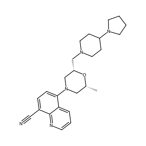 C[C@@H]1CN(c2ccc(C#N)c3ncccc23)C[C@H](CN2CCC(N3CCCC3)CC2)O1